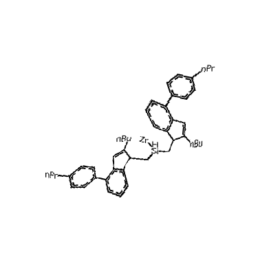 CCCCC1=Cc2c(-c3ccc(CCC)cc3)cccc2C1C[SiH]([Zr])CC1C(CCCC)=Cc2c(-c3ccc(CCC)cc3)cccc21